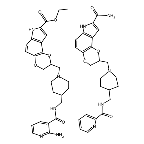 CCOC(=O)c1cc2c3c(ccc2[nH]1)OCC(CN1CCC(CNC(=O)c2cccnc2N)CC1)O3.NC(=O)c1cc2c3c(ccc2[nH]1)OCC(CN1CCC(CNC(=O)c2ccccn2)CC1)O3